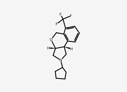 FC(F)(F)c1cccc2c1CO[C@H]1CN(C3CCCC3)C[C@@H]21